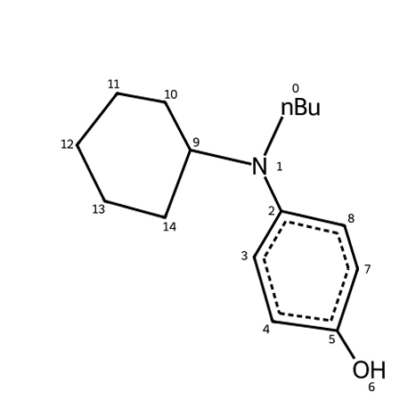 CCCCN(c1ccc(O)cc1)C1CCCCC1